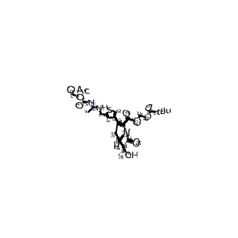 CC(=O)OCOC(=O)/N=C(\C)NCc1cc(C2=C(C(=O)OCOC(=O)C(C)(C)C)N3C(=O)[C@H]([C@@H](C)O)[C@H]3C2)cs1